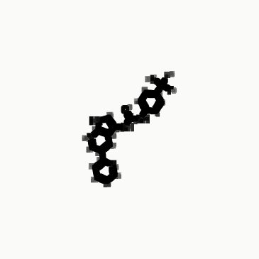 O=C(Nc1ccc(C(F)(F)F)cc1)Nc1c[nH]c2ncc(-c3ccccn3)cc12